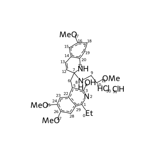 CCc1nc(O)c(CC2(NCCOC)C=Cc3cc(OC)ccc3N2)c2cc(OC)c(OC)cc12.Cl.Cl